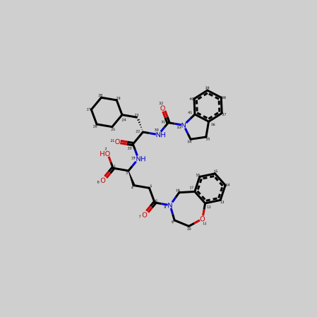 O=C(O)[C@H](CCC(=O)N1CCOc2ccccc2C1)NC(=O)[C@H](CC1CCCCC1)NC(=O)N1CCc2ccccc21